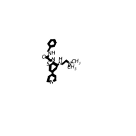 CN(C)CCNc1cc(-c2ccncc2)cc2sc(C(=O)NCc3ccccc3)nc12